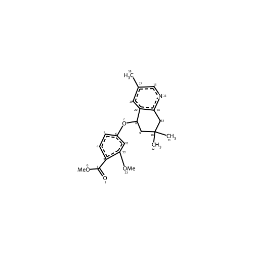 COC(=O)c1ccc(OC2CC(C)(C)Cc3ncc(C)cc32)cc1OC